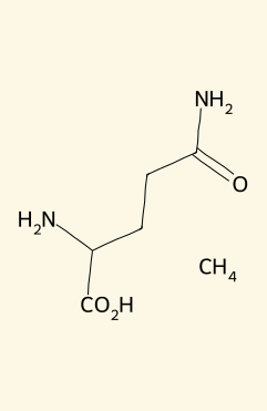 C.NC(=O)CCC(N)C(=O)O